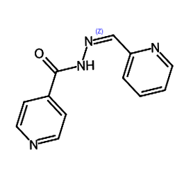 O=C(N/N=C\c1ccccn1)c1ccncc1